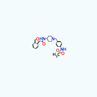 CS(=O)(=O)Nc1ccc(CN2CCC(NC(=O)c3occ4ccccc34)CC2)cc1